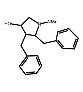 CNN1CC(O)C(Cc2ccccc2)C1Cc1ccccc1